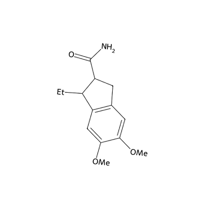 CCC1c2cc(OC)c(OC)cc2CC1C(N)=O